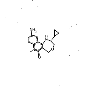 Cn1c(=O)c2c(c3cc(N)ccc31)N[C@@H](C1CC1)COC2